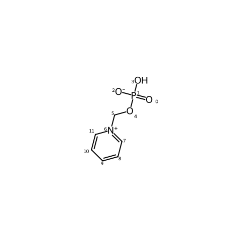 O=P([O-])(O)OC[n+]1ccccc1